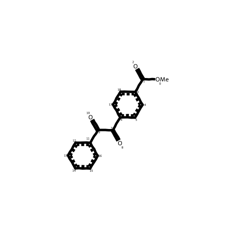 COC(=O)c1ccc(C(=O)C(=O)c2ccccc2)cc1